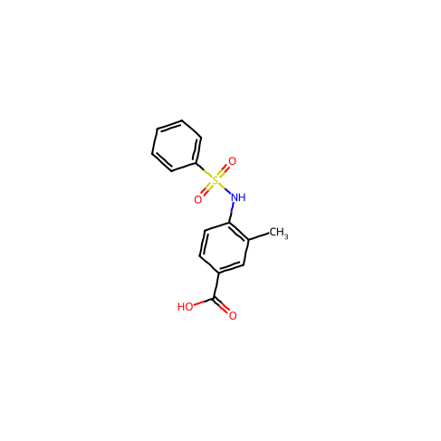 Cc1cc(C(=O)O)ccc1NS(=O)(=O)c1ccccc1